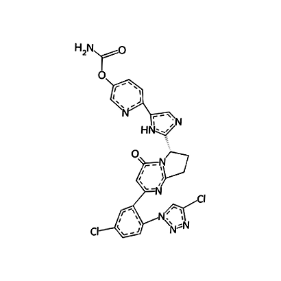 NC(=O)Oc1ccc(-c2cnc([C@@H]3CCc4nc(-c5cc(Cl)ccc5-n5cc(Cl)nn5)cc(=O)n43)[nH]2)nc1